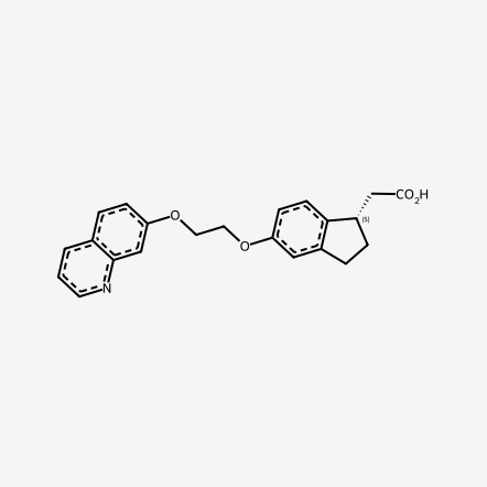 O=C(O)C[C@@H]1CCc2cc(OCCOc3ccc4cccnc4c3)ccc21